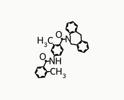 Cc1ccccc1C(=O)Nc1ccc(C(=O)N2Cc3ccccc3Cc3ccccc32)c(C)c1